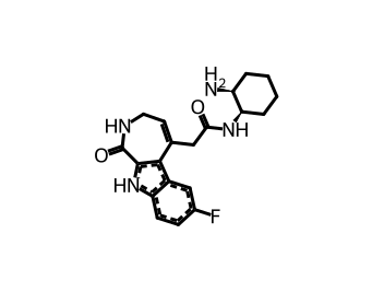 N[C@H]1CCCC[C@H]1NC(=O)CC1=CCNC(=O)c2[nH]c3ccc(F)cc3c21